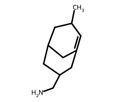 CC1C=C2CC(CN)CC(C2)C1